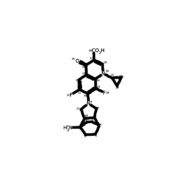 NC12CCC(CC1)C1CN(c3c(F)cc4c(=O)c(C(=O)O)cn(C5CC5)c4c3F)CC12